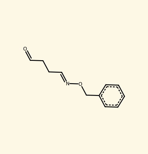 O=CCCC=NOCc1ccccc1